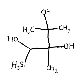 CC(C)(O)C(C)(O)C(O)[SiH3]